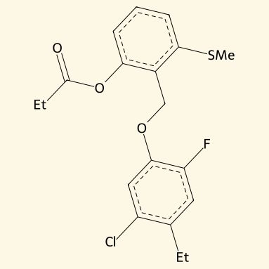 CCC(=O)Oc1cccc(SC)c1COc1cc(Cl)c(CC)cc1F